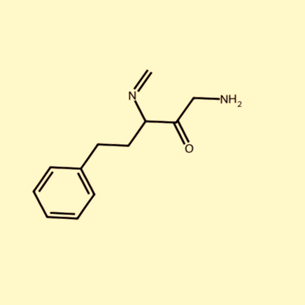 C=NC(CCc1ccccc1)C(=O)CN